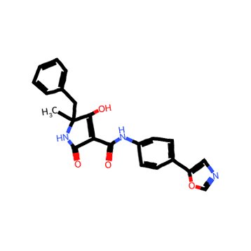 CC1(Cc2ccccc2)NC(=O)C(C(=O)Nc2ccc(-c3cnco3)cc2)=C1O